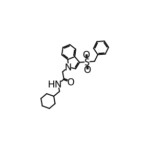 O=C(Cn1cc(S(=O)(=O)Cc2ccccc2)c2ccccc21)NCC1CCCCC1